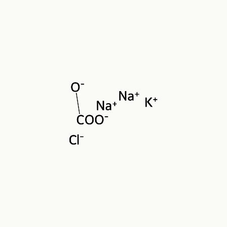 O=C([O-])[O-].[Cl-].[K+].[Na+].[Na+]